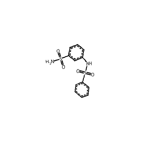 NS(=O)(=O)c1cccc(NS(=O)(=O)c2ccccc2)c1